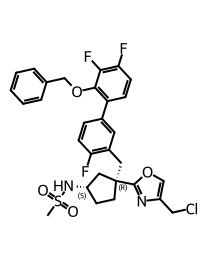 CS(=O)(=O)N[C@H]1CC[C@](Cc2cc(-c3ccc(F)c(F)c3OCc3ccccc3)ccc2F)(c2nc(CCl)co2)C1